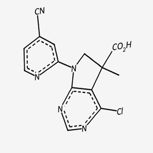 CC1(C(=O)O)CN(c2cc(C#N)ccn2)c2ncnc(Cl)c21